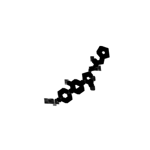 CCOC(=O)N1CCN(c2ccc(N3C[C@H](CNC(=S)CC4CCCC4)OC3=O)cc2F)CC1